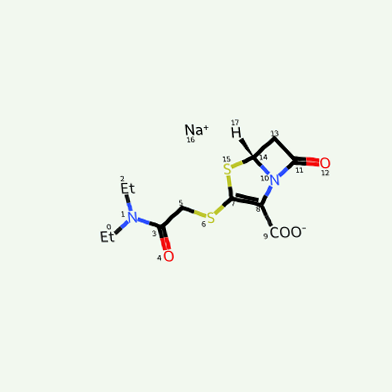 CCN(CC)C(=O)CSC1=C(C(=O)[O-])N2C(=O)C[C@H]2S1.[Na+]